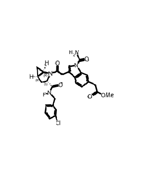 COC(=O)Cc1ccc2c(CC(=O)N3[C@@H]4C[C@@H]4C[C@H]3C(=O)N(F)Cc3cccc(Cl)c3)cn(C(N)=O)c2c1